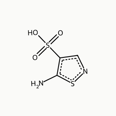 Nc1sncc1S(=O)(=O)O